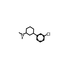 CN(C)C1CCCC(c2cccc(Cl)c2)C1